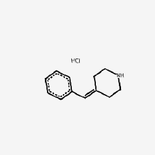 C(=C1CCNCC1)c1ccccc1.Cl